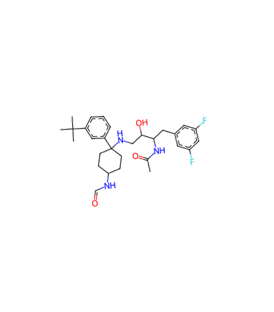 CC(=O)NC(Cc1cc(F)cc(F)c1)C(O)CNC1(c2cccc(C(C)(C)C)c2)CCC(NC=O)CC1